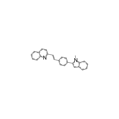 Cn1c(-c2ccc(C=Cc3ccc4ccccc4n3)cc2)cc2ccccc21